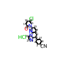 Cl.N#Cc1ccc(C(Cc2ccc(-n3cc(Cl)ccc3=O)nc2)c2ncc[nH]2)cc1